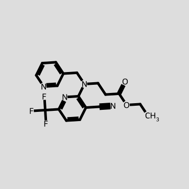 CCOC(=O)CCN(Cc1cccnc1)c1nc(C(F)(F)F)ccc1C#N